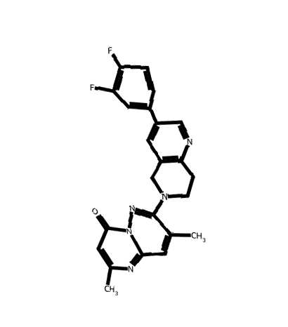 Cc1cc(=O)n2nc(N3CCc4ncc(-c5ccc(F)c(F)c5)cc4C3)c(C)cc2n1